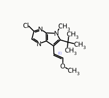 CO/C=C/c1c(C(C)(C)C)n(C)c2nc(Cl)cnc12